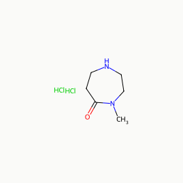 CN1CCNCCC1=O.Cl.Cl